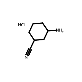 Cl.N#CC1CCCC(N)C1